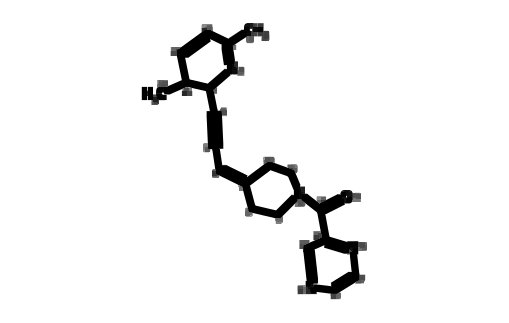 CC1=NC(C#CC=C2CCN(C(=O)c3cnccn3)CC2)C(C)C=C1